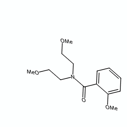 COCCN(CCOC)C(=O)c1ccccc1OC